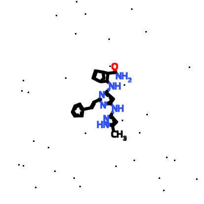 Cc1cc(Nc2cc(NC3C4C=CC(C4)C3C(N)=O)nc(/C=C/c3ccccc3)n2)n[nH]1